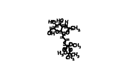 COP(=O)(OC(C)(C)C)SCCOC1OC(CO)C(O)C(O)C1NC(C)=O